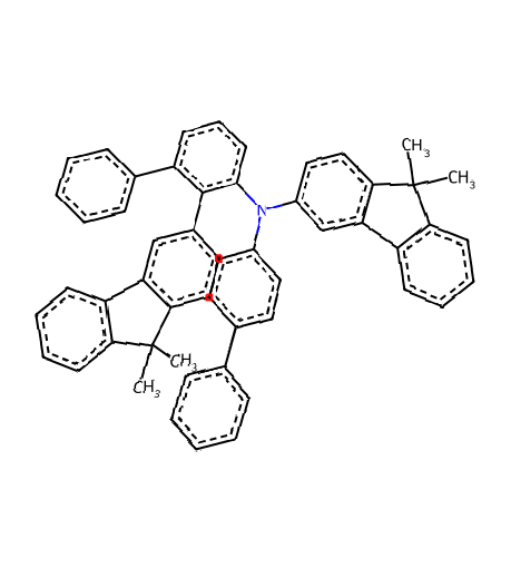 CC1(C)c2ccccc2-c2cc(-c3c(-c4ccccc4)cccc3N(c3ccc(-c4ccccc4)cc3)c3ccc4c(c3)-c3ccccc3C4(C)C)ccc21